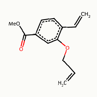 C=CCOc1cc(C(=O)OC)ccc1C=C